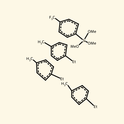 CCc1ccc(C)cc1.CCc1ccc(C)cc1.CCc1ccc(C)cc1.CO[Si](OC)(OC)c1ccc(C(F)(F)F)cc1